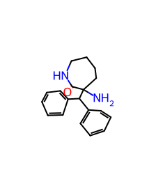 NC1(C(c2ccccc2)c2ccccc2)CCCCNC1=O